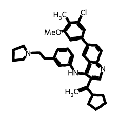 C=C(c1cnc2ccc(-c3cc(Cl)c(C)c(OC)c3)cc2c1Nc1cccc(CCN2CCCC2)c1)C1CCCC1